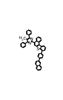 Cc1c(-c2ccccc2)nc(-c2cc3sc4c(-c5ccc(-c6ccc7ccccc7c6)cc5)cccc4c3c3ccccc23)nc1-c1ccccc1